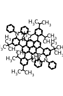 CC(C)c1cc(C(C)C)c(-c2cc3c4c(cc5c(-c6c(C(C)C)cc(C(C)C)cc6C(C)C)cc6c7c(cc2c4c57)B2c4ccccc4N(c4ccccc4)c4cc(C(C)(C)C)cc-6c42)B2c4ccccc4N(c4ccccc4)c4cc(C(C)(C)C)cc-3c42)c(C(C)C)c1